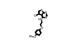 COc1ccc(OCCNc2ncnc3scc(Cl)c23)cc1